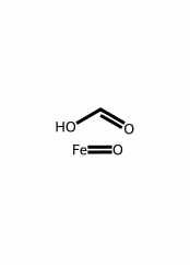 O=CO.[O]=[Fe]